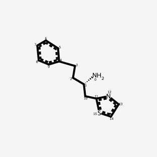 N[C@@H](CCc1ccccc1)Cc1nccs1